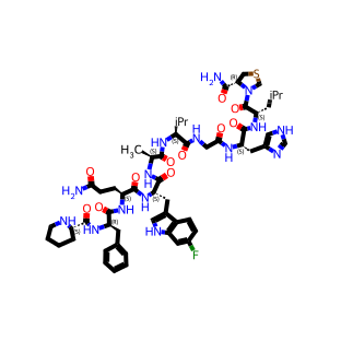 CC(C)C[C@H](NC(=O)[C@H](Cc1c[nH]cn1)NC(=O)CNC(=O)[C@@H](NC(=O)[C@H](C)NC(=O)[C@H](Cc1c[nH]c2cc(F)ccc12)NC(=O)[C@H](CCC(N)=O)NC(=O)[C@@H](Cc1ccccc1)NC(=O)[C@@H]1CCCCN1)C(C)C)C(=O)N1CSC[C@H]1C(N)=O